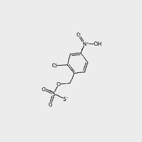 O=[N+](O)c1ccc(COS(=O)(=O)[S-])c(Cl)c1